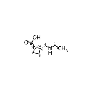 CCNC[C@@H]1CCN1C(=O)O